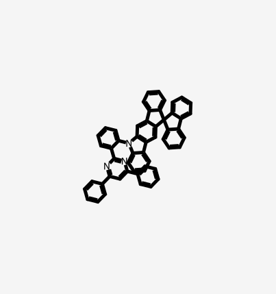 c1ccc(-c2cc(-c3ccccc3)nc(-c3ccccc3-n3c4ccccc4c4cc5c(cc43)-c3ccccc3C53c4ccccc4-c4ccccc43)n2)cc1